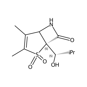 CC1=C(C)S(=O)(=O)[C@@]2([C@@H](O)C(C)C)C(=O)NC12